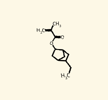 C=C(C)C(=O)OC1CC2CC1CC2CC